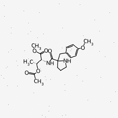 COC(=O)[C@H](NC(=O)C1(Cc2ccc(OC)cc2)CCCN1)[C@@H](C)OC(C)=O